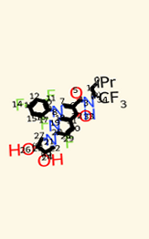 CC(C)C[C@@H](NC(=O)c1cn(-c2c(F)cc(F)cc2F)c2nc(N3C[C@@H](O)[C@@H](O)C3)c(F)cc2c1=O)C(F)(F)F